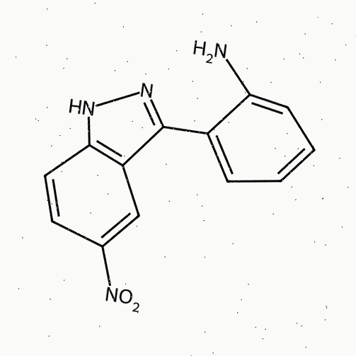 Nc1ccccc1-c1n[nH]c2ccc([N+](=O)[O-])cc12